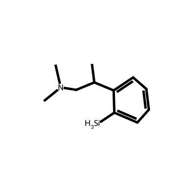 CC(CN(C)C)c1ccccc1[SiH3]